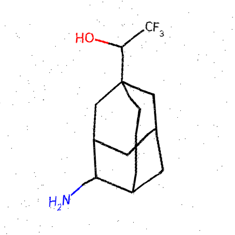 NC1C2CC3CC1CC(C(O)C(F)(F)F)(C3)C2